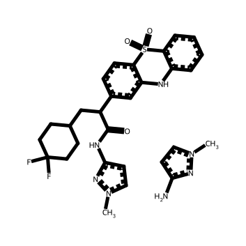 Cn1ccc(N)n1.Cn1ccc(NC(=O)C(CC2CCC(F)(F)CC2)c2ccc3c(c2)Nc2ccccc2S3(=O)=O)n1